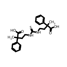 CC(CCNC(=S)NCCC(C)(C(=O)O)c1ccccc1)(C(=O)O)c1ccccc1